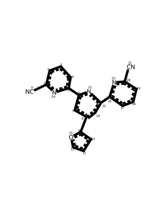 N#Cc1cccc(-c2cc(-c3ccco3)cc(-c3cccc(C#N)n3)n2)n1